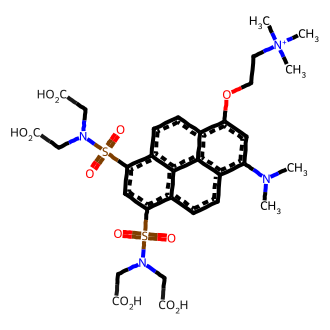 CN(C)c1cc(OCC[N+](C)(C)C)c2ccc3c(S(=O)(=O)N(CC(=O)O)CC(=O)O)cc(S(=O)(=O)N(CC(=O)O)CC(=O)O)c4ccc1c2c34